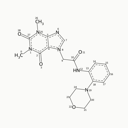 Cn1c(=O)c2c(ncn2CC(=O)Nc2ccccc2N2CCOCC2)n(C)c1=O